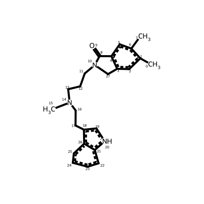 Cc1cc2c(cc1C)C(=O)N(CCCN(C)CCc1c[nH]c3ccccc13)C2